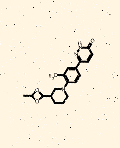 CC1OC(C2CCCN(c3ccc(-c4ccc(=O)[nH]n4)cc3C(F)(F)F)C2)O1